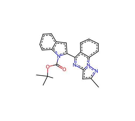 Cc1cc2nc(-c3cc4ccccc4n3C(=O)OC(C)(C)C)c3ccccc3n2n1